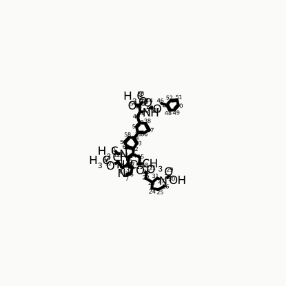 CCn1c(-c2cccnc2[C@H](C)OC)c(CC(C)(C)OC(=O)CC2CCCN(C(=O)O)C2)c2cc(-c3cccc(CC(NC(=O)OCc4ccccc4)C(=O)OC)c3)ccc21